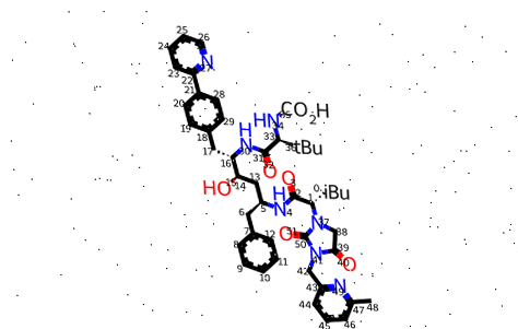 CCC(C)[C@@H](C(=O)N[C@@H](Cc1ccccc1)C[C@@H](O)[C@H](Cc1ccc(-c2ccccn2)cc1)NC(=O)[C@@H](NC(=O)O)C(C)(C)C)N1CC(=O)N(Cc2cccc(C)n2)C1=O